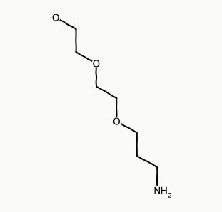 NCCCOCCOCC[O]